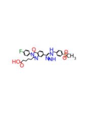 CS(=O)(=O)c1ccc(CN/C=C(\N=N)c2ccc3c(=O)n(-c4ccc(F)cc4)c(CCCCC(=O)O)nc3c2)cc1